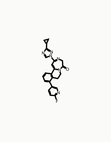 O=C1CN=C(n2cnc(C3CC3)n2)C=C2c3cccc(-c4ccc(F)nc4)c3CCN12